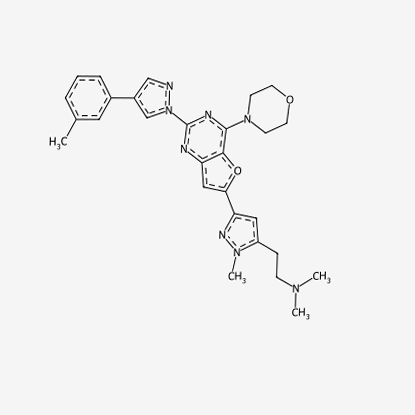 Cc1cccc(-c2cnn(-c3nc(N4CCOCC4)c4oc(-c5cc(CCN(C)C)n(C)n5)cc4n3)c2)c1